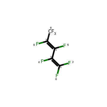 FC(F)=C(F)/C(F)=C(\F)C(F)(F)F